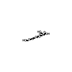 C#CCOCCOCCOCCOCCN(CC(=O)O)CC(=O)O